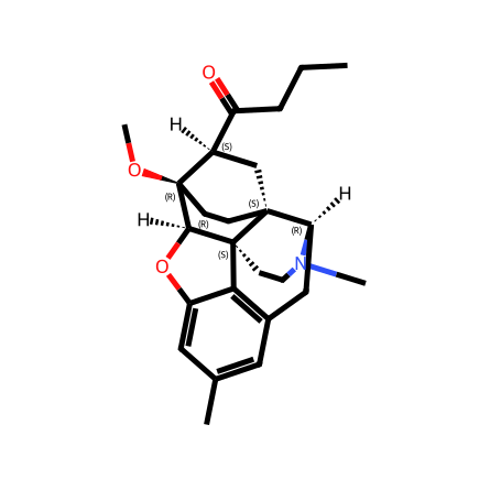 CCCC(=O)[C@H]1C[C@@]23CC[C@]1(OC)[C@@H]1Oc4cc(C)cc5c4[C@@]12CCN(C)[C@@H]3C5